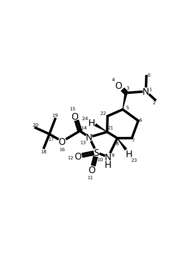 CN(C)C(=O)[C@H]1CC[C@@H]2NS(=O)(=O)N(C(=O)OC(C)(C)C)[C@@H]2C1